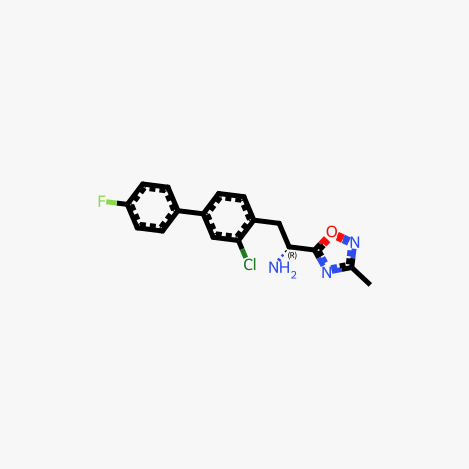 Cc1noc([C@H](N)Cc2ccc(-c3ccc(F)cc3)cc2Cl)n1